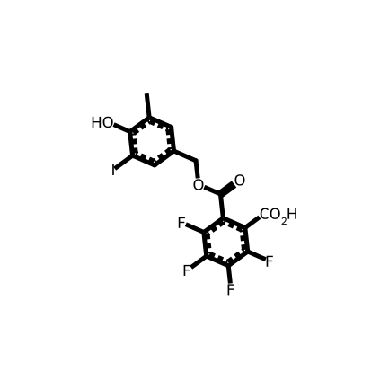 Cc1cc(COC(=O)c2c(F)c(F)c(F)c(F)c2C(=O)O)cc(I)c1O